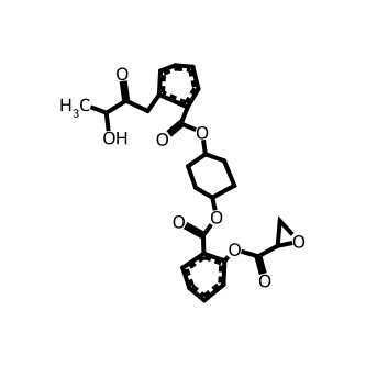 CC(O)C(=O)Cc1ccccc1C(=O)OC1CCC(OC(=O)c2ccccc2OC(=O)C2CO2)CC1